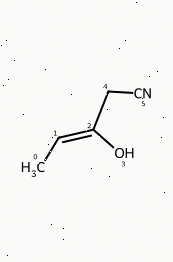 C/C=C(\O)CC#N